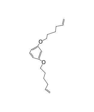 C=CCCCCOc1cccc(OCCCCC=C)c1